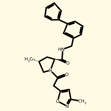 Cc1cc(CC(=O)N2C[C@H](C)C[C@H]2C(=O)NCc2cccc(-c3ccccc3)c2)on1